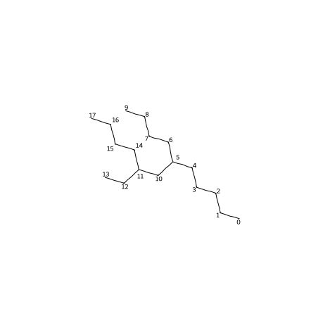 CCCCCC(CCCC)CC(CC)CCCC